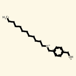 CCCCCCCCCCCCOCc1ccc(CO)cc1